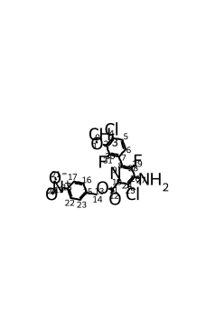 COc1c(Cl)ccc(-c2nc(C(=O)OCc3ccc([N+](=O)[O-])cc3)c(Cl)c(N)c2F)c1F